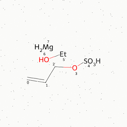 C=CCOS(=O)(=O)O.CCO.[MgH2]